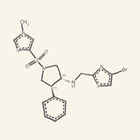 Cn1cnc(S(=O)(=O)N2C[C@H](NCc3nc(Br)cs3)[C@@H](c3ccccc3)C2)c1